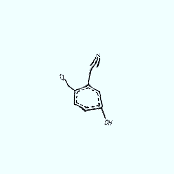 N#Cc1cc(O)ccc1Cl